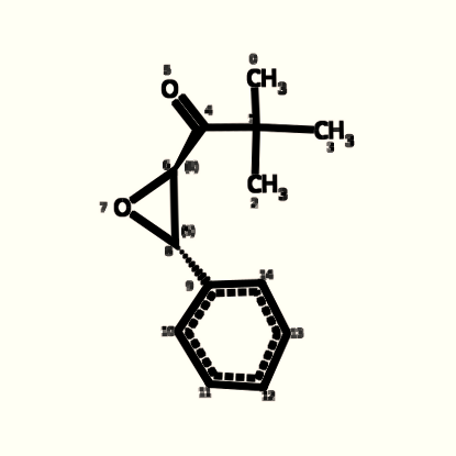 CC(C)(C)C(=O)[C@@H]1O[C@H]1c1ccccc1